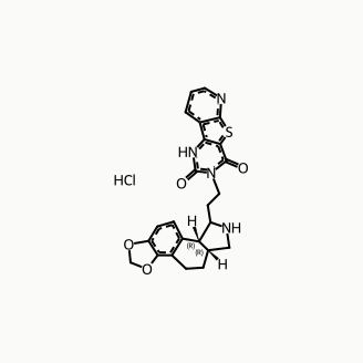 Cl.O=c1[nH]c2c(sc3ncccc32)c(=O)n1CCC1NC[C@@H]2CCc3c(ccc4c3OCO4)[C@H]12